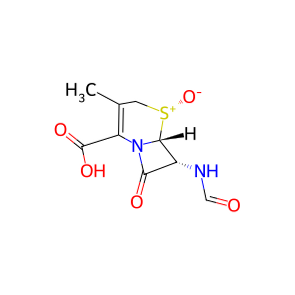 CC1=C(C(=O)O)N2C(=O)[C@@H](NC=O)[C@H]2[S@@+]([O-])C1